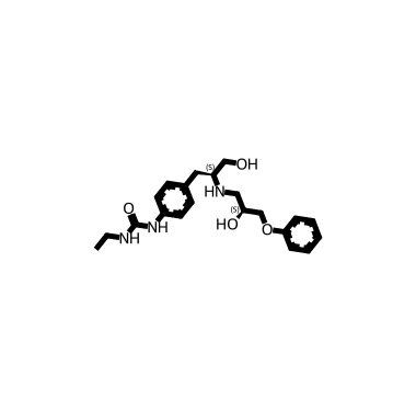 CCNC(=O)Nc1ccc(C[C@@H](CO)NC[C@H](O)COc2ccccc2)cc1